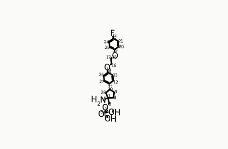 N[C@]1(COP(=O)(O)O)CC[C@@H](c2ccc(OCCOc3ccc(F)cc3)cc2)C1